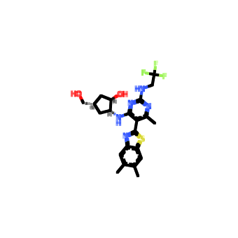 Cc1cc2nc(-c3c(C)nc(NCC(F)(F)F)nc3N[C@@H]3C[C@H](CO)C[C@H]3O)sc2cc1C